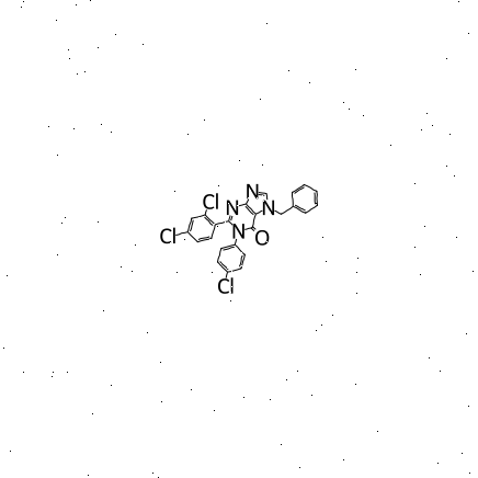 O=c1c2c(ncn2Cc2ccccc2)nc(-c2ccc(Cl)cc2Cl)n1-c1ccc(Cl)cc1